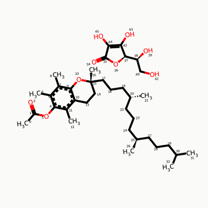 CC(=O)Oc1c(C)c(C)c2c(c1C)CC[C@@](C)(CCC[C@H](C)CCC[C@H](C)CCCC(C)C)O2.O=C1O[C@H]([C@@H](O)CO)C(O)=C1O